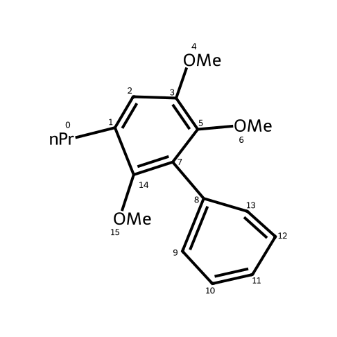 CCCc1cc(OC)c(OC)c(-c2ccccc2)c1OC